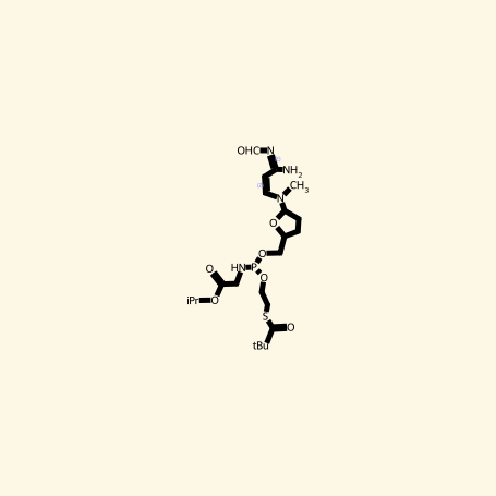 CC(C)OC(=O)CNP(OCCSC(=O)C(C)(C)C)OCC1CCC(N(C)/C=C\C(N)=N/C=O)O1